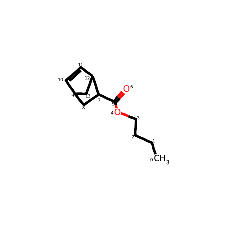 CCCCOC(=O)C1CC2C=CC1C2